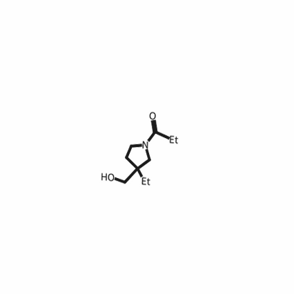 CCC(=O)N1CCC(CC)(CO)C1